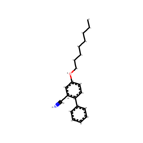 CCCCCCCCOc1ccc(-c2ccccc2)c(C#N)c1